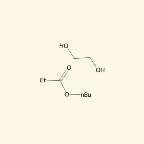 CCCCOC(=O)CC.OCCO